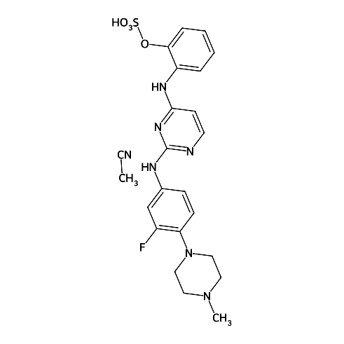 CC#N.CN1CCN(c2ccc(Nc3nccc(Nc4ccccc4OS(=O)(=O)O)n3)cc2F)CC1